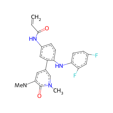 C=CC(=O)Nc1ccc(Nc2ccc(F)cc2F)c(-c2cc(NC)c(=O)n(C)c2)c1